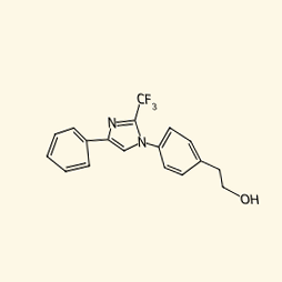 OCCc1ccc(-n2cc(-c3ccccc3)nc2C(F)(F)F)cc1